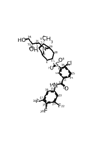 C[C@H]1CC2C[C@@H](S(=O)(=O)c3cc(C(=O)Nc4cc(F)c(F)c(F)c4)ccc3Cl)CC1N2C[C@H](O)CO